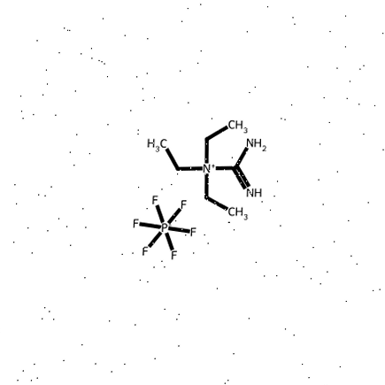 CC[N+](CC)(CC)C(=N)N.F[P-](F)(F)(F)(F)F